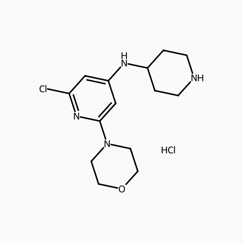 Cl.Clc1cc(NC2CCNCC2)cc(N2CCOCC2)n1